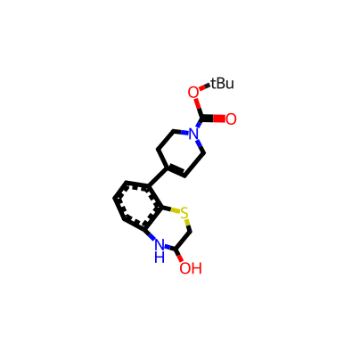 CC(C)(C)OC(=O)N1CC=C(c2cccc3c2SCC(O)N3)CC1